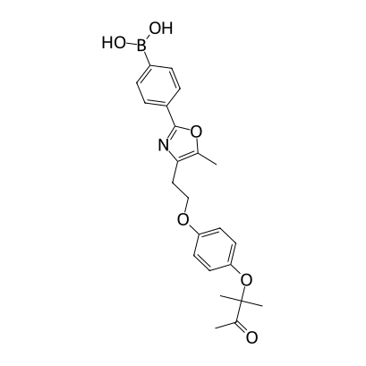 CC(=O)C(C)(C)Oc1ccc(OCCc2nc(-c3ccc(B(O)O)cc3)oc2C)cc1